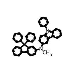 CN(c1ccc2c(c1)C(c1ccccc1)(c1ccccc1)c1ccccc1-2)c1ccc2c(c1)c1ccccc1n2-c1ccccc1